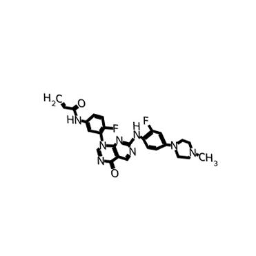 C=CC(=O)Nc1ccc(F)c(-n2cnc(=O)c3cnc(Nc4ccc(N5CCN(C)CC5)cc4F)nc32)c1